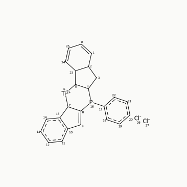 C1=CC2CC3[CH]([Ti+2][CH]4C(=Cc5ccccc54)P3c3ccccc3)C2C=C1.[Cl-].[Cl-]